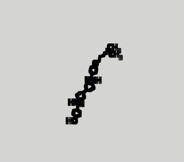 CN(C)CCCCOc1ccc(-c2nc3cc(-c4ccc5[nH]c(-c6ccc(O)cc6)nc5c4)ccc3[nH]2)cc1